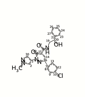 Cn1cc(-n2nc(-c3ccc(Cl)cc3)cc(C(=O)NCC(O)c3ccccc3)c2=O)cn1